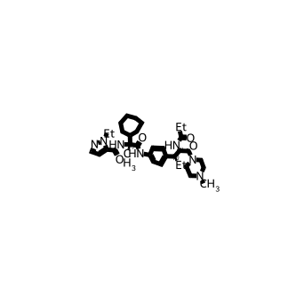 CCC(=O)N[C@@H](C(=O)N1CCN(C)CC1)[C@@H](CC)c1ccc(NC(=O)[C@](C)(NC(=O)c2ccnn2CC)C2CCCCCC2)cc1